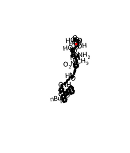 CCCCc1cc2c(c3c1=NCCC3)Oc1c(cc3c4c1CCCN4CCC3)C=2c1cc(C(=O)NCCCCCC(=O)NCC#Cc2ccc(C(C)Oc3nc(N)nc4c3ncn4[C@H]3C[C@@H](O)[C@@H](COP(=O)(O)OP(=O)(O)OP(=O)(O)O)O3)c([N+](=O)[O-])c2)ccc1C=O